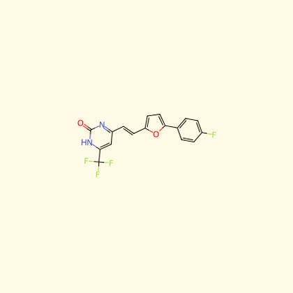 O=c1nc(C=Cc2ccc(-c3ccc(F)cc3)o2)cc(C(F)(F)F)[nH]1